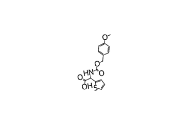 COc1ccc(COC(=O)NC(C(=O)O)c2cccs2)cc1